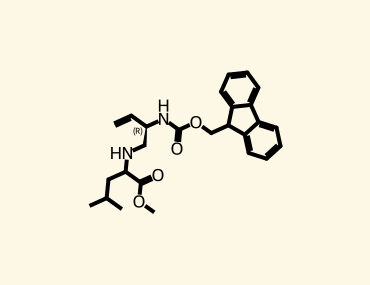 C=C[C@H](CNC(CC(C)C)C(=O)OC)NC(=O)OCC1c2ccccc2-c2ccccc21